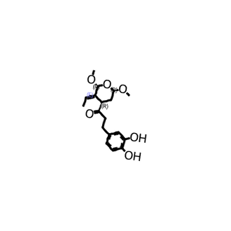 C/C=C1/[C@H](OC)O[C@@H](OC)C[C@H]1C(=O)CCc1ccc(O)c(O)c1